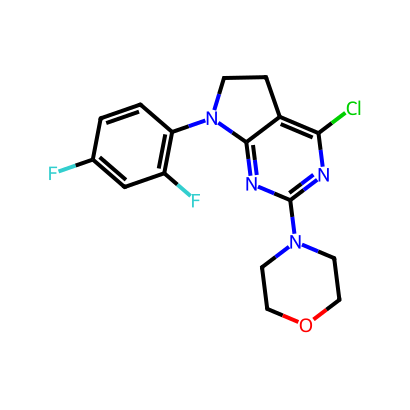 Fc1ccc(N2CCc3c(Cl)nc(N4CCOCC4)nc32)c(F)c1